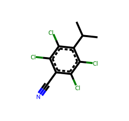 CC(C)c1c(Cl)c(Cl)c(C#N)c(Cl)c1Cl